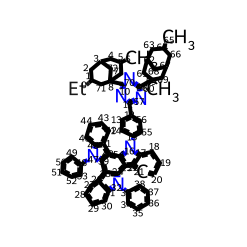 CCC1CC2CC(C)CC(c3nc(-c4ccc(-n5c6ccccc6c6c7c(c8ccccc8n7-c7ccccc7)c7c(c8ccccc8n7-c7ccccc7)c65)cc4)nc(C4(C)CC5CC(C)CC(C5)C4)n3)(C1)C2